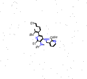 CC/C=C/C=C\C(=C(/C)C(C)CC)c1cc(NCc2cccnc2OC)c(N(C)C(C)C)c(CC)n1